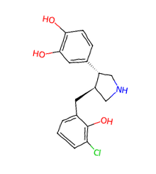 Oc1ccc([C@@H]2CNC[C@H]2Cc2cccc(Cl)c2O)cc1O